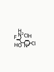 Cl.NC/C(=C\F)C(O)c1ccc(Cl)cn1